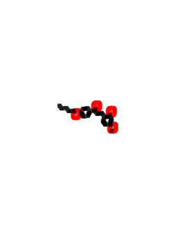 CCCCCOc1ccc(C(=O)C=Cc2ccc(OC)cc2OC)cc1